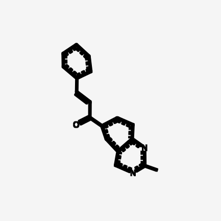 Cc1ncc2cc(C(=O)/C=C/c3ccccc3)ccc2n1